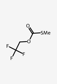 CSC(=O)OCC(F)(F)F